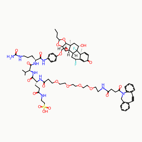 CCCC1O[C@@H]2C[C@H]3[C@@H]4C[C@H](F)C5=CC(=O)C=C[C@]5(C)[C@@]4(F)[C@@H](O)C[C@]3(C)[C@]2(C(=O)COc2ccc(NC(=O)[C@H](CCCNC(N)=O)NC(=O)[C@@H](NC(=O)[C@@H](CCC(=O)NCCS(=O)(=O)O)NC(=O)CCOCCOCCOCCOCCNC(=O)CCC(=O)N3Cc4ccccc4C#Cc4ccccc43)C(C)C)cc2)O1